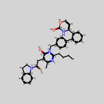 CCCCc1nc(C)c(CC(=S)N2CCc3ccccc32)c(=O)n1Cc1ccc(-c2ccccc2C2=C=COC(=O)N2)cc1